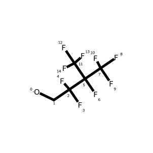 [O]CC(F)(F)C(F)(C(F)(F)F)C(F)(F)F